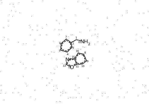 NCc1ccccc1.c1ccc2ocnc2c1